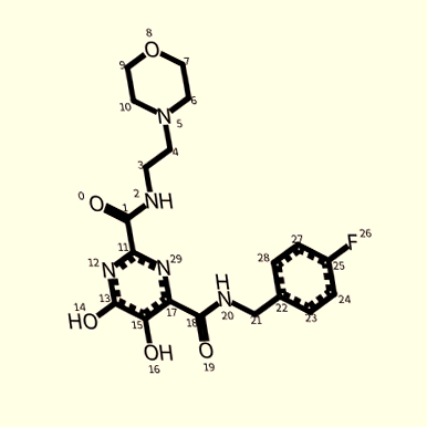 O=C(NCCN1CCOCC1)c1nc(O)c(O)c(C(=O)NCc2ccc(F)cc2)n1